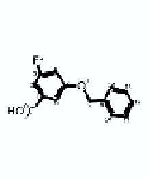 O=C(O)c1cc(F)cc(OCc2ccccc2)c1